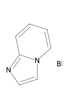 [B].c1ccn2ccnc2c1